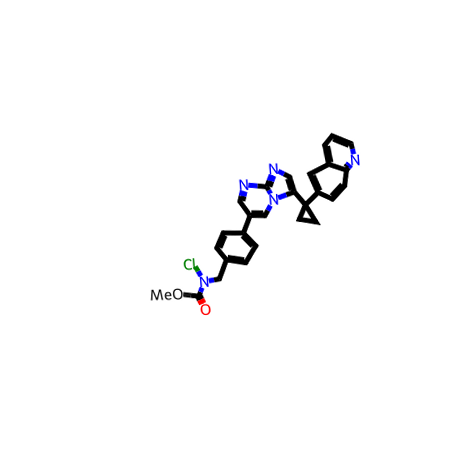 COC(=O)N(Cl)Cc1ccc(-c2cnc3ncc(C4(c5ccc6ncccc6c5)CC4)n3c2)cc1